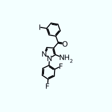 Nc1c(C(=O)c2cccc(I)c2)cnn1-c1ccc(F)cc1F